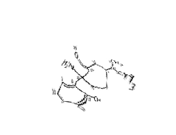 CN(C)C1CCC(N)(c2ccccc2Cl)C(=O)C1